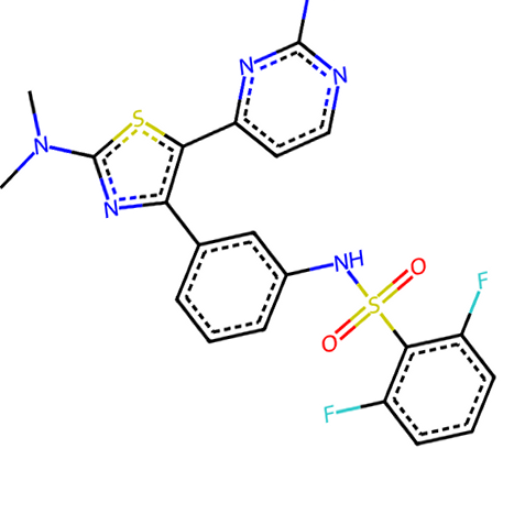 CN(C)c1nc(-c2cccc(NS(=O)(=O)c3c(F)cccc3F)c2)c(-c2ccnc(N)n2)s1